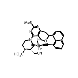 CSc1nc2c(c(N3CCN(C(=O)O)[C@@H](CC#N)C3)n1)COC(c1cccc3cccc(C#C[Si](C(C)C)(C(C)C)C(C)C)c13)C2